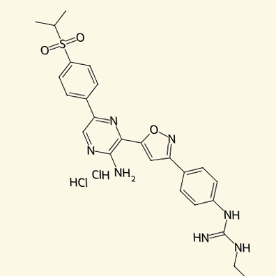 CCNC(=N)Nc1ccc(-c2cc(-c3nc(-c4ccc(S(=O)(=O)C(C)C)cc4)cnc3N)on2)cc1.Cl.Cl